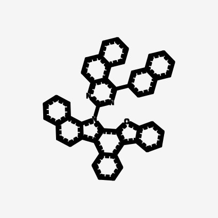 c1ccc2cc(-c3nc(-n4c5c6ccccc6ccc5c5c6ccccc6c6c7ccccc7oc6c54)nc4ccc5ccccc5c34)ccc2c1